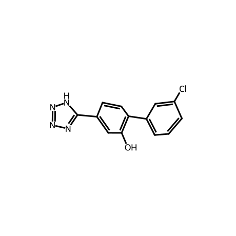 Oc1cc(-c2nnn[nH]2)ccc1-c1cccc(Cl)c1